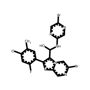 Cc1cc(-c2nc3cnc(Br)cn3c2C(O)Nc2cnc(Br)cn2)c(F)cc1Cl